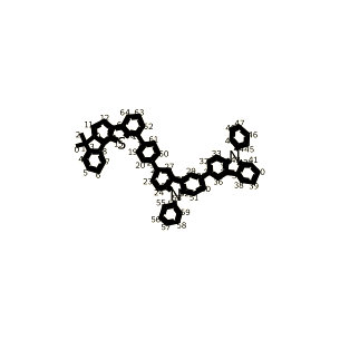 CC1(C)c2ccccc2-c2c1ccc1c2sc2c(-c3ccc(-c4ccc5c(c4)c4cc(-c6ccc7c(c6)c6ccccc6n7-c6ccccc6)ccc4n5-c4ccccc4)cc3)cccc21